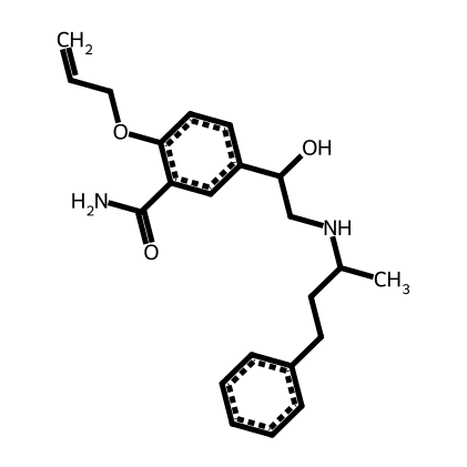 C=CCOc1ccc(C(O)CNC(C)CCc2ccccc2)cc1C(N)=O